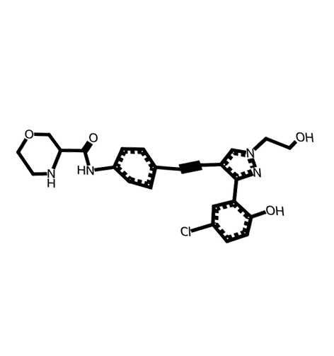 O=C(Nc1ccc(C#Cc2cn(CCO)nc2-c2cc(Cl)ccc2O)cc1)C1COCCN1